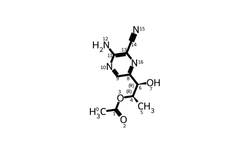 CC(=O)O[C@H](C)[C@H](O)c1cnc(N)c(C#N)n1